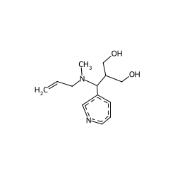 C=CCN(C)C(c1cccnc1)C(CO)CO